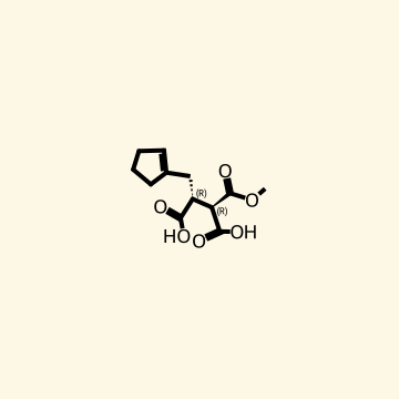 COC(=O)[C@@H](C(=O)O)[C@@H](CC1=CCCC1)C(=O)O